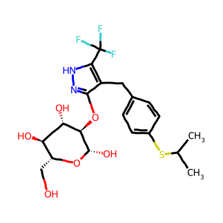 CC(C)Sc1ccc(Cc2c(O[C@@H]3[C@@H](O)[C@H](O)[C@@H](CO)O[C@H]3O)n[nH]c2C(F)(F)F)cc1